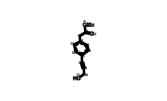 COC(=O)Cc1ccc(C#CCO)cc1